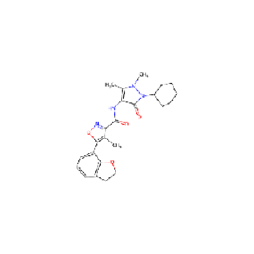 Cc1c(C(=O)Nc2c(C)n(C)n(C3CCCCC3)c2=O)noc1-c1cccc2c1OCC2